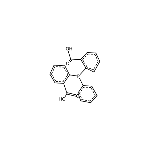 O=C(O)c1ccccc1P(c1ccccc1)c1ccccc1C(=O)O